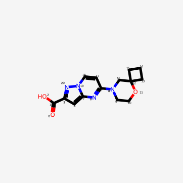 O=C(O)c1cc2nc(N3CCOC4(CCC4)C3)ccn2n1